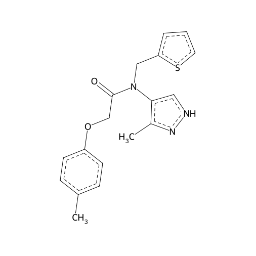 Cc1ccc(OCC(=O)N(Cc2cccs2)c2c[nH]nc2C)cc1